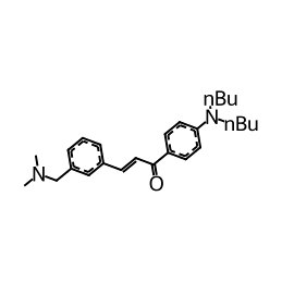 CCCCN(CCCC)c1ccc(C(=O)/C=C/c2cccc(CN(C)C)c2)cc1